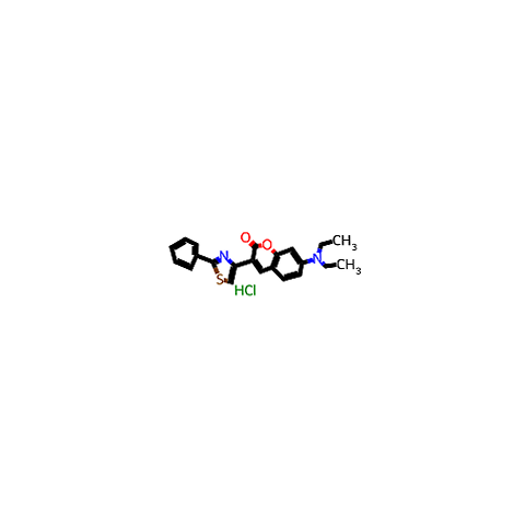 CCN(CC)c1ccc2cc(-c3csc(-c4ccccc4)n3)c(=O)oc2c1.Cl